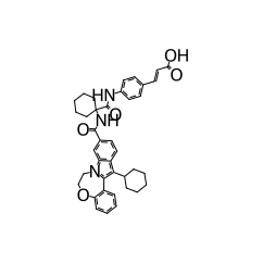 O=C(O)/C=C/c1ccc(NC(=O)C2(NC(=O)c3ccc4c(C5CCCCC5)c5n(c4c3)CCOc3ccccc3-5)CCCCC2)cc1